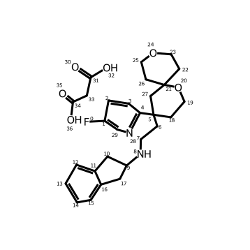 Fc1ccc(C2(CCNC3Cc4ccccc4C3)CCOC3(CCOCC3)C2)nc1.O=C(O)CC(=O)O